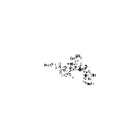 COCCNC(=O)[C@@H](NC(=O)N[C@@H](CC(N)=O)C(=O)N(C)NC(=O)[C@H](CO)NC(=O)COC)C(C)O